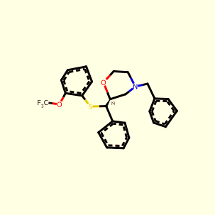 FC(F)(F)Oc1ccccc1SC(c1ccccc1)[C@@H]1CN(Cc2ccccc2)CCO1